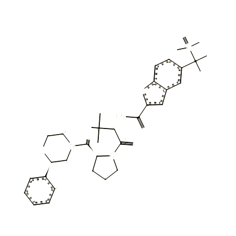 CC(C)(C)[C@H](NC(=O)c1cc2cc(C(F)(F)P(=O)(O)O)ccc2s1)C(=O)N1CCC[C@H]1C(=O)N1CCO[C@H](c2ccccc2)C1